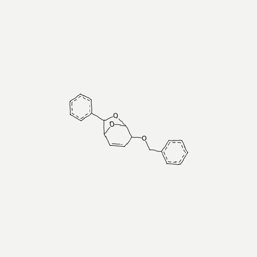 C1=CC2OC(OC2c2ccccc2)C1OCc1ccccc1